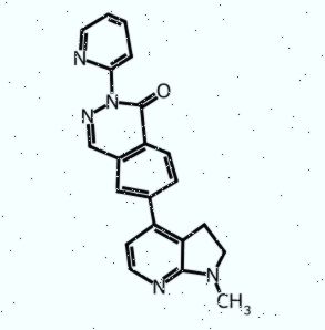 CN1CCc2c(-c3ccc4c(=O)n(-c5ccccn5)ncc4c3)ccnc21